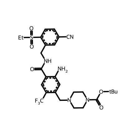 CCS(=O)(=O)c1ccc(C#N)cc1CNC(=O)c1cc(C(F)(F)F)c(CN2CCN(C(=O)OC(C)(C)C)CC2)cc1N